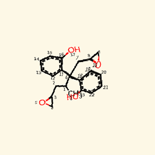 CC(CC1CO1)C(CC1CO1)(c1ccccc1O)c1ccccc1O